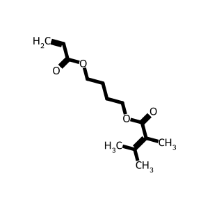 C=CC(=O)OCCCCOC(=O)C(C)=C(C)C